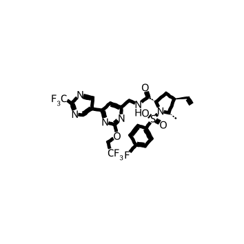 C=C[C@@H]1C[C@@H](C(=O)NCc2cc(-c3cnc(C(F)(F)F)nc3)nc(OCC(F)(F)F)n2)N(S(=O)(=O)c2ccc(F)cc2)[C@H]1C